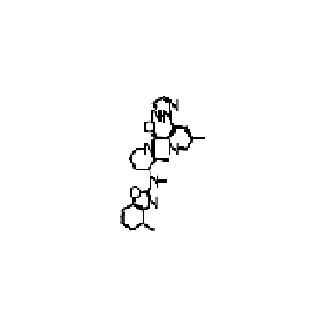 Cc1cnc(C(=O)N2CCC[C@@H](N(C)c3nc4c(o3)C=CCC4C)[C@@H]2C)c(-n2nccn2)c1